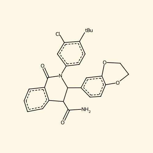 CC(C)(C)c1ccc(N2C(=O)c3ccccc3C(C(N)=O)C2c2ccc3c(c2)OCCO3)cc1Cl